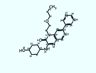 CCCOCCn1c(=O)c(NC2CCC(O)CC2)nc2cnc(-c3cncnc3)cc21